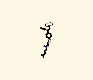 CC#C[C@@H](CC(=O)OC)c1ccc(OC/C=C(\C)CCC=C(C)C)cc1